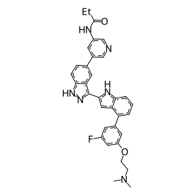 CCC(=O)Nc1cncc(-c2ccc3[nH]nc(-c4cc5c(-c6cc(F)cc(OCCN(C)C)c6)cccc5[nH]4)c3c2)c1